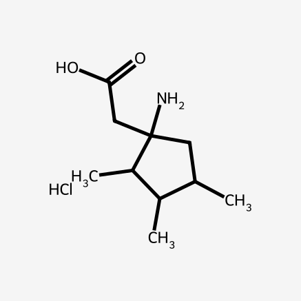 CC1CC(N)(CC(=O)O)C(C)C1C.Cl